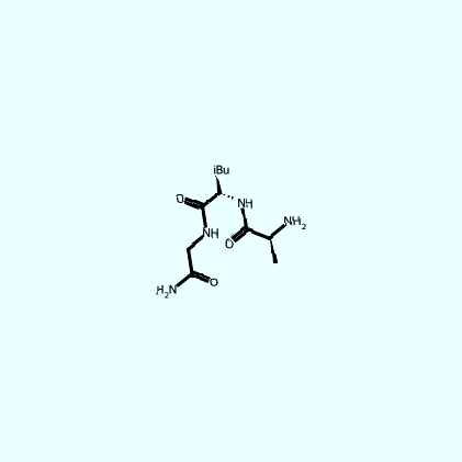 CC[C@H](C)[C@H](NC(=O)[C@H](C)N)C(=O)NCC(N)=O